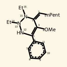 CCCCCC=C1C(OC)=C(c2ccccc2)NN(CC)N1CC